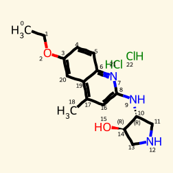 CCOc1ccc2nc(N[C@@H]3CNC[C@H]3O)cc(C)c2c1.Cl.Cl